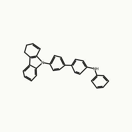 C1=Cc2c(c3ccccc3n2-c2ccc(-c3ccc(Nc4ccccc4)cc3)cc2)CC1